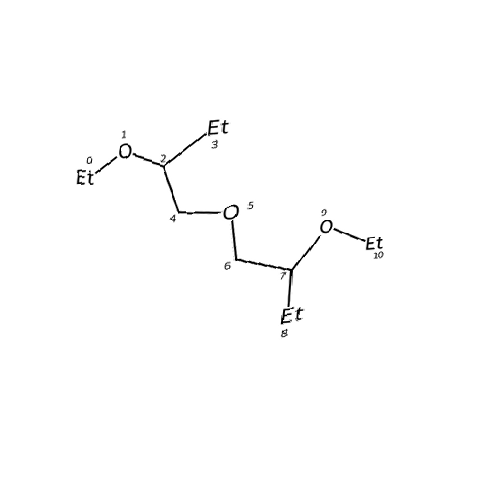 CCOC(CC)COCC(CC)OCC